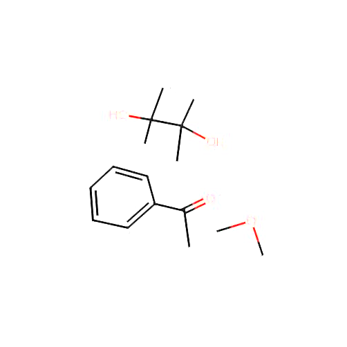 CC(=O)c1ccccc1.CC(C)(O)C(C)(C)O.COC